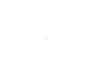 CCCCCCCc1ccc(OCCC[C@H]2CC[C@H](CC)CC2)cc1